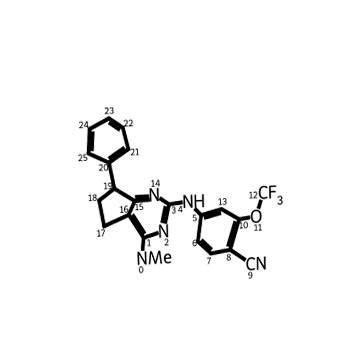 CNc1nc(Nc2ccc(C#N)c(OC(F)(F)F)c2)nc2c1CCC2c1ccccc1